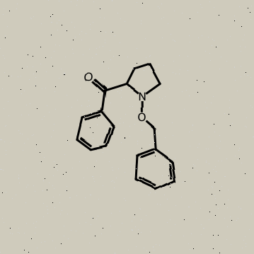 O=C(c1ccccc1)C1CCCN1OCc1ccccc1